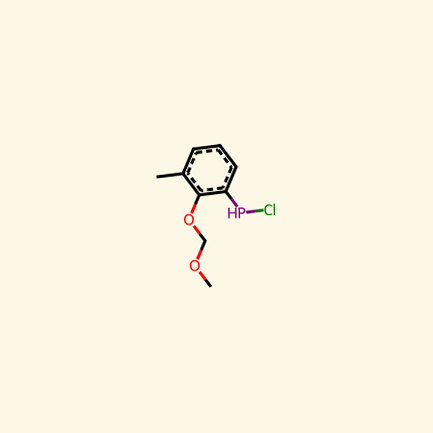 COCOc1c(C)cccc1PCl